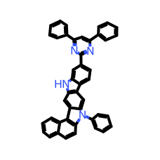 c1ccc(-c2cc(-c3ccccc3)nc(-c3ccc4c(c3)[nH]c3cc5c6c7ccccc7ccc6n(-c6ccccc6)c5cc34)n2)cc1